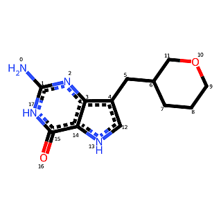 Nc1nc2c(CC3CCCOC3)c[nH]c2c(=O)[nH]1